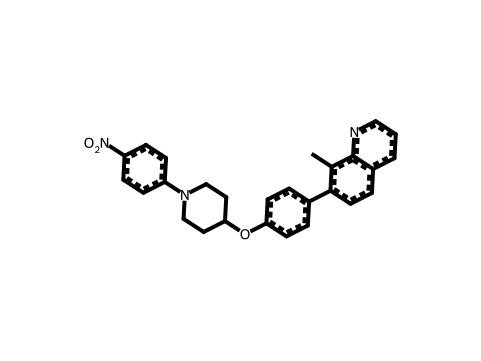 Cc1c(-c2ccc(OC3CCN(c4ccc([N+](=O)[O-])cc4)CC3)cc2)ccc2cccnc12